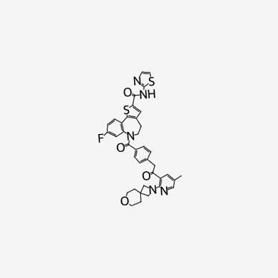 Cc1cnc(N2CC3(CCOCC3)C2)c(C(=O)Cc2ccc(C(=O)N3CCc4cc(C(=O)Nc5nccs5)sc4-c4ccc(F)cc43)cc2)c1